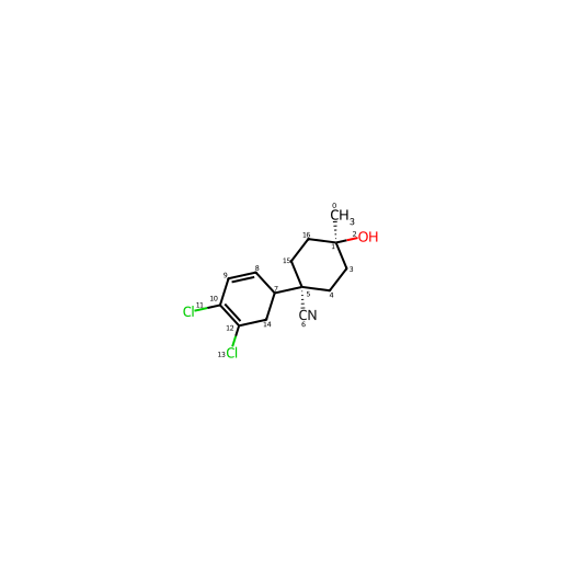 C[C@]1(O)CC[C@@](C#N)(C2C=CC(Cl)=C(Cl)C2)CC1